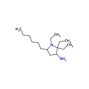 CCCCCCC1CC(N)C(CC)(CC)N1CC